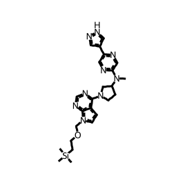 CN(c1cnc(-c2cn[nH]c2)cn1)C1CCN(c2ncnc3c2ccn3COCC[Si](C)(C)C)C1